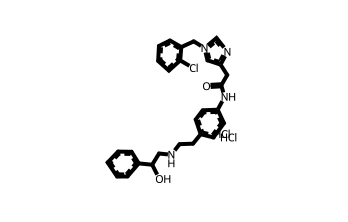 Cl.Cl.O=C(Cc1cn(Cc2ccccc2Cl)cn1)Nc1ccc(CCNCC(O)c2ccccc2)cc1